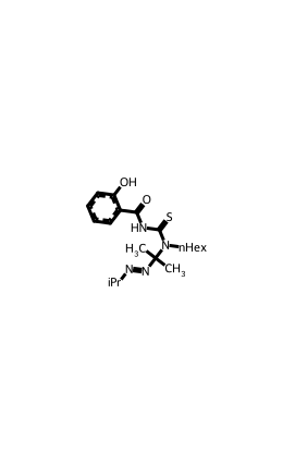 CCCCCCN(C(=S)NC(=O)c1ccccc1O)C(C)(C)N=NC(C)C